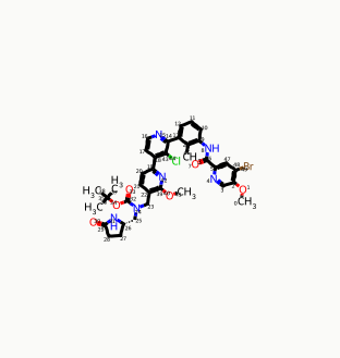 COc1cnc(C(=O)Nc2cccc(-c3nccc(-c4ccc(CN(C[C@@H]5CCC(=O)N5)C(=O)OC(C)(C)C)c(OC)n4)c3Cl)c2C)cc1Br